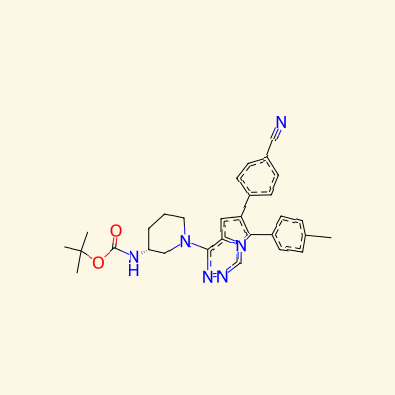 Cc1ccc(-c2c(-c3ccc(C#N)cc3)cc3c(N4CCC[C@@H](NC(=O)OC(C)(C)C)C4)nncn23)cc1